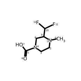 CN1CCN(C(=O)O)CC1C(F)F